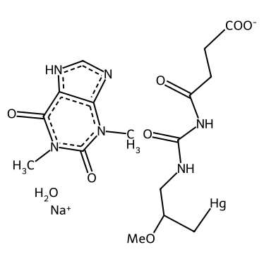 COC([CH2][Hg])CNC(=O)NC(=O)CCC(=O)[O-].Cn1c(=O)c2[nH]cnc2n(C)c1=O.O.[Na+]